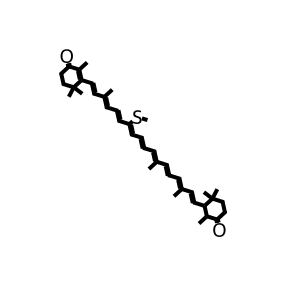 CSC(=C\C=C\C=C(C)\C=C\C=C(C)\C=C\C1C(C)C(=O)CCC1(C)C)/C=C/C=C(C)/C=C/C1=C(C)C(=O)CCC1(C)C